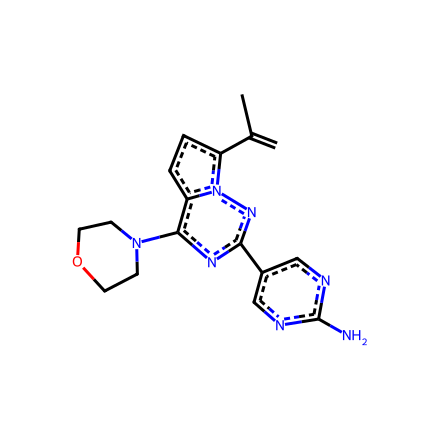 C=C(C)c1ccc2c(N3CCOCC3)nc(-c3cnc(N)nc3)nn12